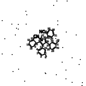 Cc1cccc(C2=C(c3ccccc3C#N)[Si](C)(C)C(c3ccccc3C#N)=C2c2cccc(C)c2)c1